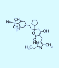 CCc1nc(C)c(CC2=C(O)CC(CCc3ccc(C(C)(C)C#N)c(F)c3)(C3CCCC3)OC2=O)[nH]1